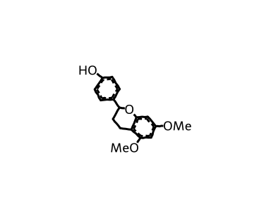 COc1cc(OC)c2c(c1)OC(c1ccc(O)cc1)CC2